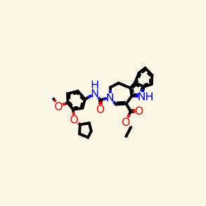 CCOC(=O)C1=CN(C(=O)Nc2ccc(OC)c(OC3CCCC3)c2)CCc2c1[nH]c1ccccc21